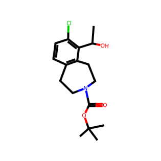 CC(O)c1c(Cl)ccc2c1CCN(C(=O)OC(C)(C)C)CC2